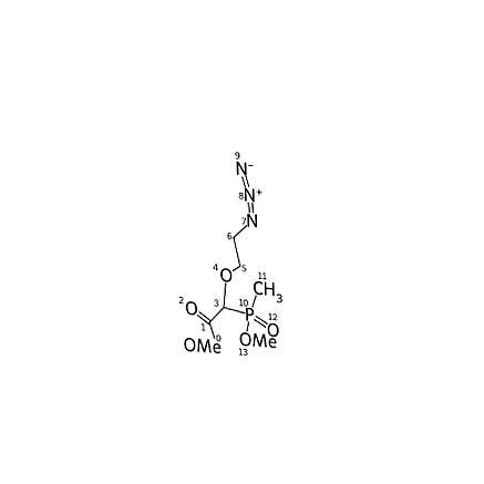 COC(=O)C(OCCN=[N+]=[N-])P(C)(=O)OC